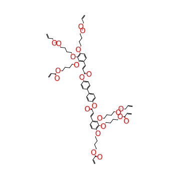 C=CCOOCCCCOc1ccc(/C=C/C(=O)Oc2ccc(-c3ccc(OC(=O)/C=C/c4ccc(OCCCCOC(=O)C=C)c(OCCCCOC(=O)C=C)c4OCCCCOOCC=C)cc3)cc2)c(OCCCCOC(=O)C=C)c1OCCCCOOCC=C